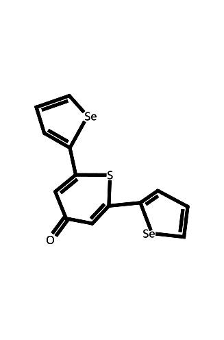 O=c1cc(-c2ccc[se]2)sc(-c2ccc[se]2)c1